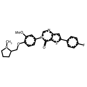 COc1cc(-n2cnc3cc(-c4ccc(F)cc4)sc3c2=O)ccc1OCC1CCCN1C